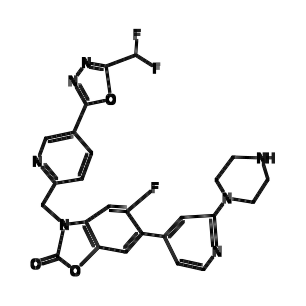 O=c1oc2cc(-c3ccnc(N4CCNCC4)c3)c(F)cc2n1Cc1ccc(-c2nnc(C(F)F)o2)cn1